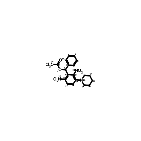 O=C(OC(c1ccccc1)c1c([N+](=O)[O-])ccc(N2CCCCC2)c1[N+](=O)[O-])C(Cl)(Cl)Cl